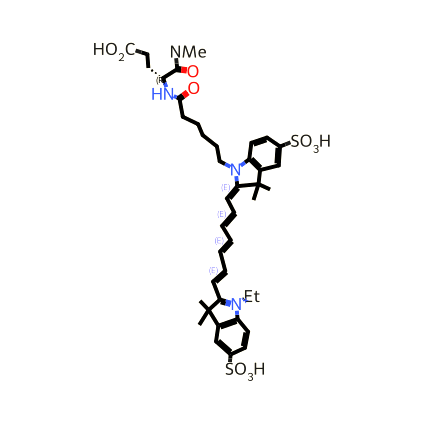 CC[N+]1=C(/C=C/C=C/C=C/C=C2/N(CCCCCC(=O)N[C@H](CCC(=O)O)C(=O)NC)c3ccc(S(=O)(=O)O)cc3C2(C)C)C(C)(C)c2cc(S(=O)(=O)O)ccc21